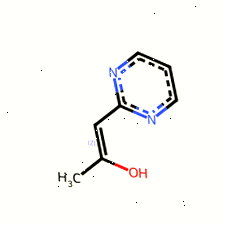 C/C(O)=C/c1ncccn1